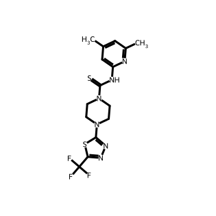 Cc1cc(C)nc(NC(=S)N2CCN(c3nnc(C(F)(F)F)s3)CC2)c1